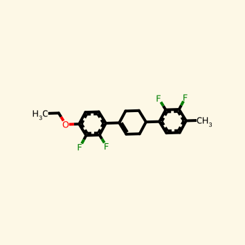 CCOc1ccc(C2=CCC(c3ccc(C)c(F)c3F)CC2)c(F)c1F